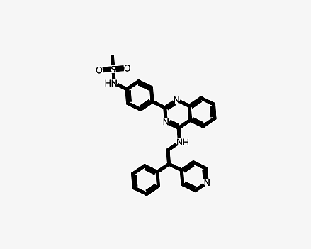 CS(=O)(=O)Nc1ccc(-c2nc(NCC(c3ccccc3)c3ccncc3)c3ccccc3n2)cc1